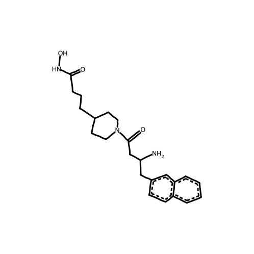 NC(CC(=O)N1CCC(CCCC(=O)NO)CC1)Cc1ccc2ccccc2c1